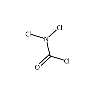 O=C(Cl)N(Cl)Cl